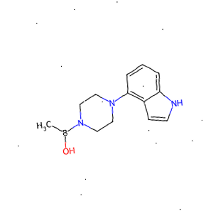 CB(O)N1CCN(c2cccc3[nH]ccc23)CC1